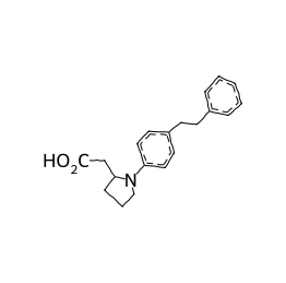 O=C(O)CC1CCCN1c1ccc(CCc2ccccc2)cc1